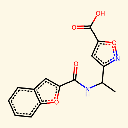 CC(NC(=O)c1cc2ccccc2o1)c1cc(C(=O)O)on1